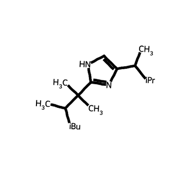 CCC(C)C(C)C(C)(C)c1nc(C(C)C(C)C)c[nH]1